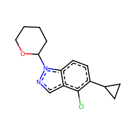 Clc1c(C2CC2)ccc2c1cnn2C1CCCCO1